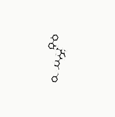 Fc1ccccc1-c1cccc2[nH]c(-c3n[nH]c4cnc(-c5cncc(CNCc6ccccc6)c5)c(F)c34)nc12